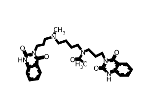 CC(=O)N(CCCCN(C)CCCn1c(=O)[nH]c2ccccc2c1=O)CCCn1c(=O)[nH]c2ccccc2c1=O